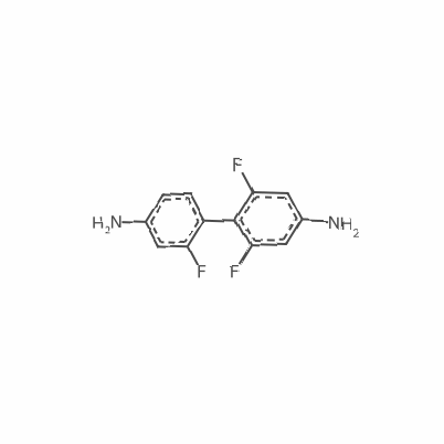 Nc1ccc(-c2c(F)cc(N)cc2F)c(F)c1